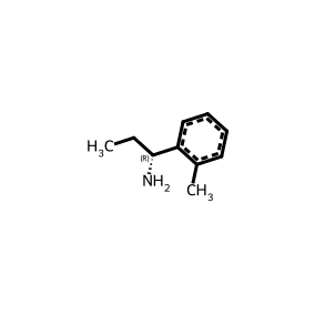 CC[C@@H](N)c1ccccc1C